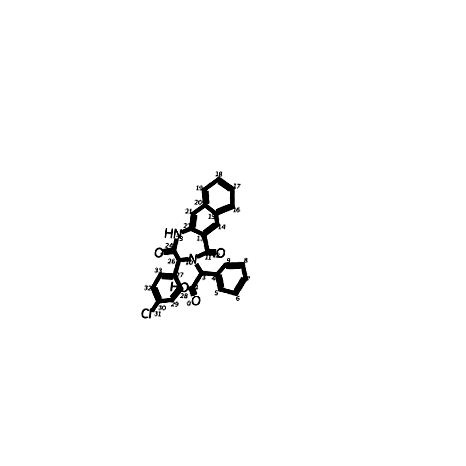 O=C(O)C(c1ccccc1)N1C(=O)c2cc3ccccc3cc2NC(=O)C1c1ccc(Cl)cc1